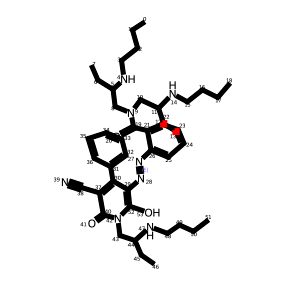 CCCCNC(CC)CN(CC(CC)NCCCC)C(=O)c1ccccc1/N=N/c1c(-c2ccccc2)c(C#N)c(=O)n(CC(CC)NCCCC)c1O